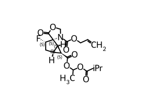 C=CCOC(=O)N1COC(=O)[C@]12[C@H]1[C@@H](C[C@@H]2F)[C@@H]1C(=O)OC(C)OC(=O)C(C)C